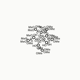 COc1cc(C(=O)Cc2cc(C(=O)O[C@H]3[C@H](OC(=O)c4cc(O)c(O)c(OC(=O)c5cc(OC)c(OC)c(OC)c5)c4)[C@@H](OC(=O)c4cc(O)c(OC)c(OC(=O)c5cc(OC)c(OC)c(OC)c5)c4)[C@H](OC(=O)c4cc(O)c(OC)c(OC(=O)c5cc(OC)c(OC)c(OC)c5)c4)O[C@@H]3COC(=O)c3cc(O)c(OC)c(OC(=O)c4cc(OC)c(OC)c(OC)c4)c3)cc(O)c2OC)cc(OC)c1OC